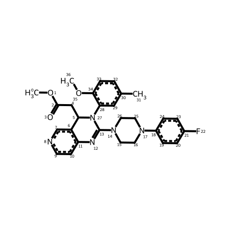 COC(=O)CC1c2cnccc2N=C(N2CCN(c3ccc(F)cc3)CC2)N1c1cc(C)ccc1OC